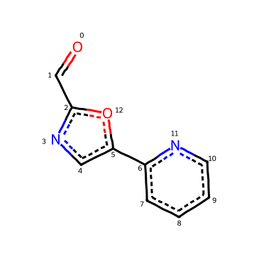 O=Cc1ncc(-c2ccccn2)o1